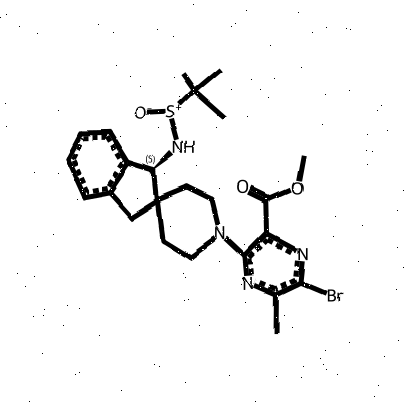 COC(=O)c1nc(Br)c(C)nc1N1CCC2(CC1)Cc1ccccc1[C@H]2N[S+]([O-])C(C)(C)C